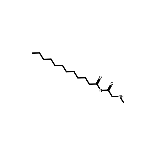 CCCCCCCCCCCC(=O)[N]C(=O)CNC